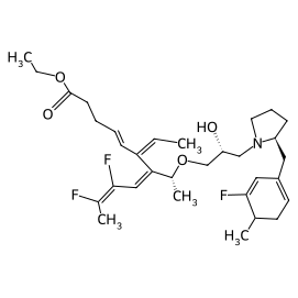 C/C=C(/C=C/CCC(=O)OCC)C(=C/C(F)=C(\C)F)\[C@@H](C)OC[C@H](O)CN1CCC[C@H]1CC1=CCC(C)C(F)=C1